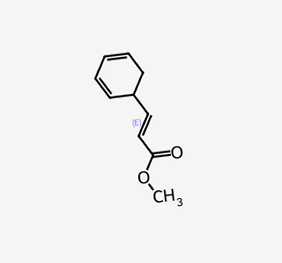 COC(=O)/C=C/C1C=CC=CC1